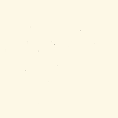 COC(=O)[12C]1(NC(=O)OC(C)(C)C)CC(O)C1